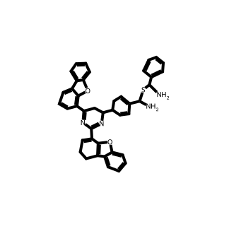 NC(SC(N)c1ccccc1)C1=CCC(C2CC(c3cccc4c3oc3ccccc34)=NC(C3=CCCc4c3oc3ccccc43)=N2)C=C1